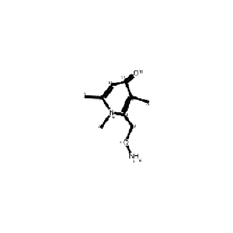 Cc1c(CON)n(C)c(C)cc1=O